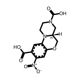 O=C(O)c1cc2c(cc1[N+](=O)[O-])OC[C@H]1CN(C(=O)O)CCN21